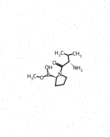 COB(O)[C@@H]1CCCN1C(=O)[C@@H](N)C(C)C